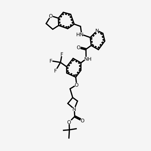 CC(C)(C)OC(=O)N1CC(COc2cc(NC(=O)c3cccnc3NCc3ccc4c(c3)CCO4)cc(C(F)(F)F)c2)C1